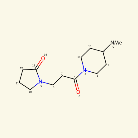 CNC1CCN(C(=O)CCN2CCCC2=O)CC1